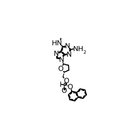 CNc1nc(N)nc2c1ncn2[C@H]1CC[C@@H](COP(=O)(I)Oc2cccc3ccccc23)O1